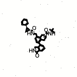 CC(C)(C)NC(=O)N1CCc2c(-c3cccc4c3CNC4=O)ccc(CNC(=O)[C@@H]3C[C@H]3c3ccccc3)c2C1